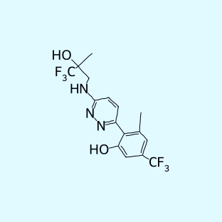 Cc1cc(C(F)(F)F)cc(O)c1-c1ccc(NCC(C)(O)C(F)(F)F)nn1